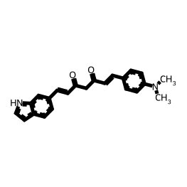 CN(C)c1ccc(C=CC(=O)CC(=O)C=Cc2ccc3cc[nH]c3c2)cc1